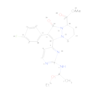 CCOC(C)Nc1nccc(-c2c(-c3ccc(F)cc3)c(=O)n3n2CCCC3C(=O)OC)n1